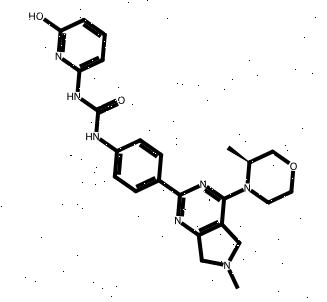 C[C@H]1COCCN1c1nc(-c2ccc(NC(=O)Nc3cccc(O)n3)cc2)nc2c1CN(C)C2